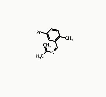 C=C(C)/N=C\c1cc(C(C)C)ccc1C